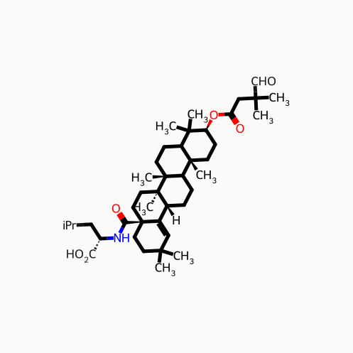 CC(C)C[C@H](NC(=O)[C@]12CCC(C)(C)C=C1[C@H]1CCC3[C@@]4(C)CC[C@H](OC(=O)CC(C)(C)C=O)C(C)(C)C4CC[C@@]3(C)[C@]1(C)CC2)C(=O)O